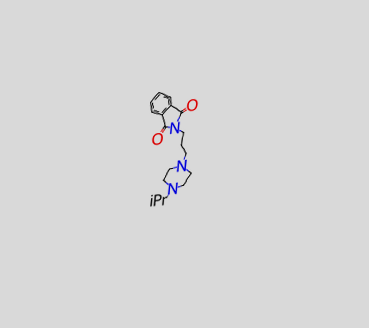 CC(C)N1CCN(CCCN2C(=O)c3ccccc3C2=O)CC1